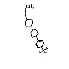 CCCC[C@H]1CC[C@H](C2CCC(c3ccc(C(F)(F)F)nc3)CC2)CC1